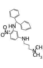 CN(C)CCCNc1ccc([N+](=O)[O-])c(NC(c2ccccc2)c2ccccc2)c1